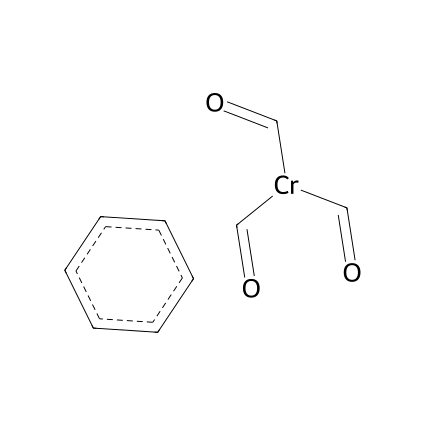 O=[CH][Cr]([CH]=O)[CH]=O.c1ccccc1